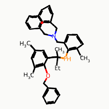 CCC(C)(Pc1c(C)cccc1CN(Cc1ccccc1)Cc1ccccc1)c1cc(C)cc(C)c1OCc1ccccc1